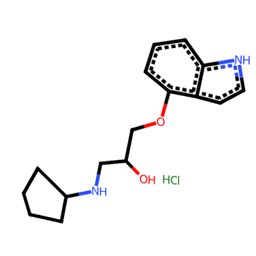 Cl.OC(CNC1CCCC1)COc1cccc2[nH]ccc12